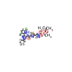 CC(OC(=O)C(C)C)OC(=O)n1cc(-c2nc(C(=O)Nc3cn(C4CCCCC4)nc3-c3nc(F)ccc3F)cs2)cn1